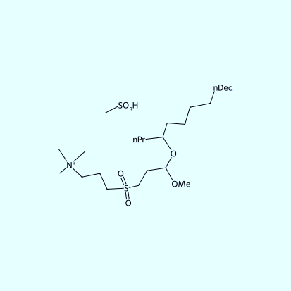 CCCCCCCCCCCCCCC(CCC)OC(CCS(=O)(=O)CCC[N+](C)(C)C)OC.CS(=O)(=O)O